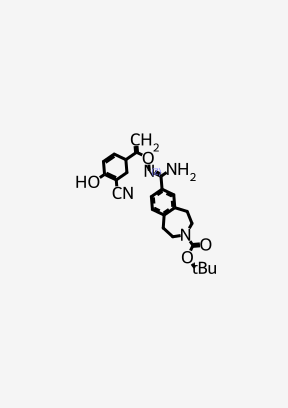 C=C(O/N=C(\N)c1ccc2c(c1)CCN(C(=O)OC(C)(C)C)CC2)C1C=CC(O)=C(C#N)C1